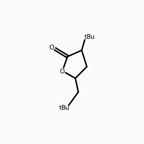 CC(C)(C)CC1CC(C(C)(C)C)C(=O)O1